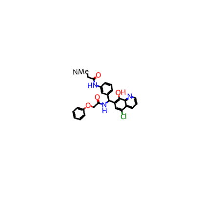 CNCC(=O)Nc1cccc(C(NC(=O)COc2ccccc2)c2cc(Cl)c3cccnc3c2O)c1